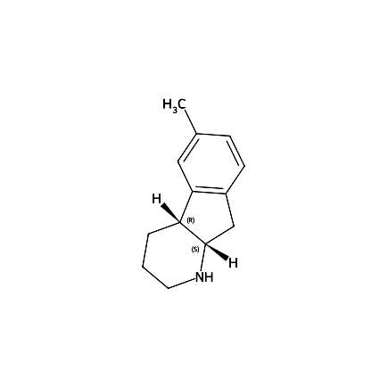 Cc1ccc2c(c1)[C@H]1CCCN[C@H]1C2